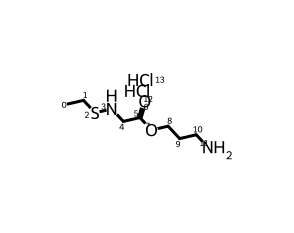 CCSNCC(=O)OCCCN.Cl.Cl